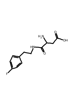 NC(CC(=O)O)C(=O)NCCc1ccc(F)cc1